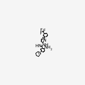 N=C(Nc1ccn(-c2cccc(C(F)(F)F)c2)n1)c1cc(N2CCCCC2)ccc1N